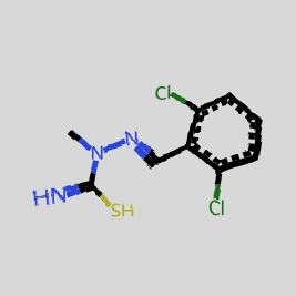 CN(/N=C/c1c(Cl)cccc1Cl)C(=N)S